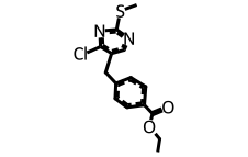 CCOC(=O)c1ccc(Cc2cnc(SC)nc2Cl)cc1